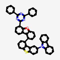 c1ccc(-c2nc(-c3ccccc3)nc(-c3cccc4c3oc3cccc(-c5cccc6sc7ccc(-n8c9ccccc9c9ccccc98)cc7c56)c34)n2)cc1